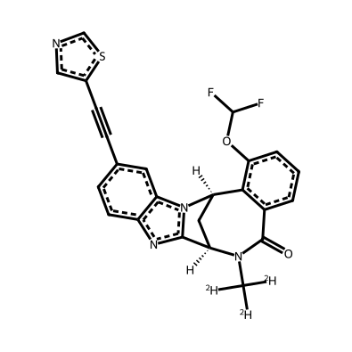 [2H]C([2H])([2H])N1C(=O)c2cccc(OC(F)F)c2[C@H]2C[C@@H]1c1nc3ccc(C#Cc4cncs4)cc3n12